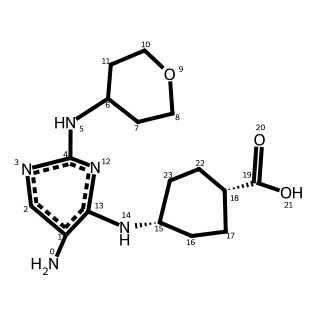 Nc1cnc(NC2CCOCC2)nc1N[C@H]1CC[C@@H](C(=O)O)CC1